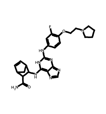 NC(=O)C1C2C=CC(C2)C1Nc1[nH]c(Nc2ccc(OCCN3CCCC3)c(F)c2)nc2ncnc1-2